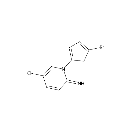 N=c1ccc(Cl)cn1C1=CC=C(Br)C1